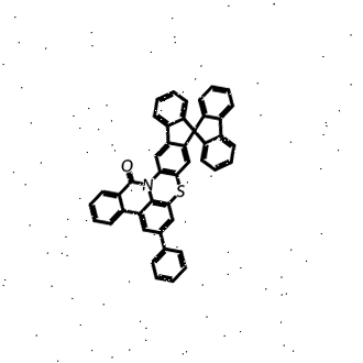 O=c1c2ccccc2c2cc(-c3ccccc3)cc3c2n1-c1cc2c(cc1S3)C1(c3ccccc3-c3ccccc31)c1ccccc1-2